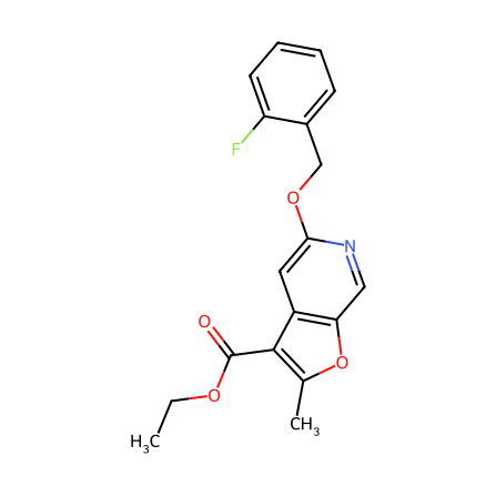 CCOC(=O)c1c(C)oc2cnc(OCc3ccccc3F)cc12